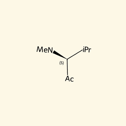 CN[C@H](C(C)=O)C(C)C